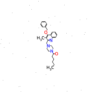 CCCCCC(=O)N1CCN(Cc2nc3ccccc3c(OCc3ccccc3)c2C)CC1